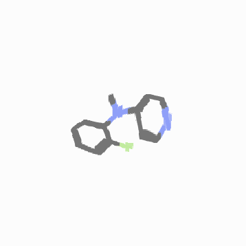 CN(c1ccncc1)c1ccccc1F